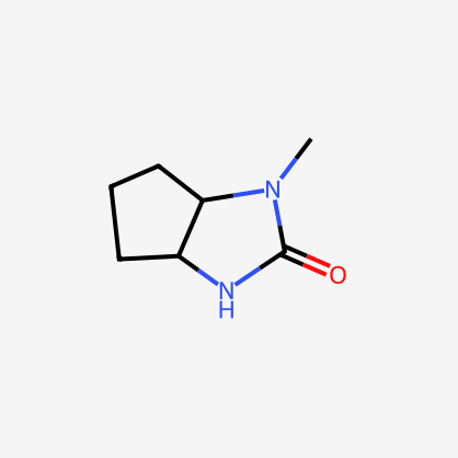 CN1C(=O)NC2CCCC21